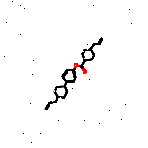 C=CCC1CCC(C(=O)Oc2ccc(C3CCC(CC=C)CC3)cc2)CC1